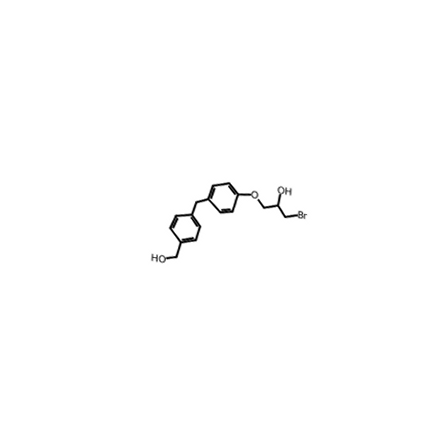 OCc1ccc(Cc2ccc(OCC(O)CBr)cc2)cc1